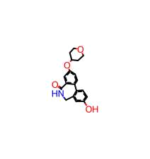 O=C1NCc2cc(O)ccc2-c2ccc(OC3CCOCC3)cc21